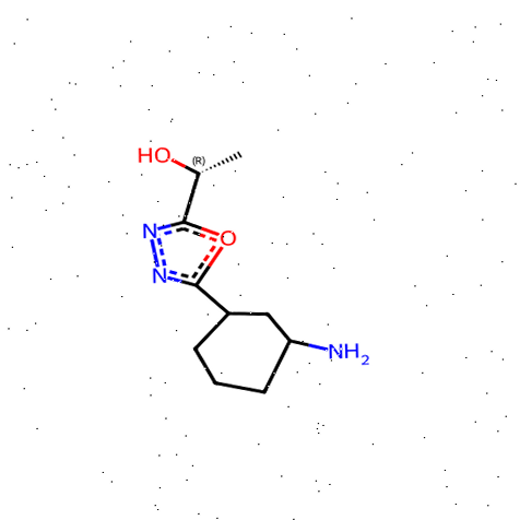 C[C@@H](O)c1nnc(C2CCCC(N)C2)o1